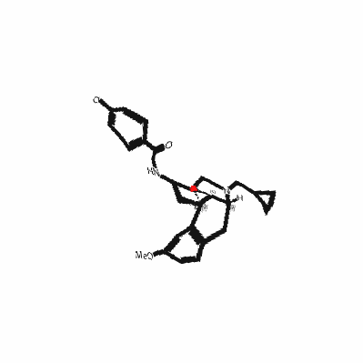 COc1ccc2c(c1)[C@]13CCN(CC4CC4)[C@H](C2)[C@]12CCC(NC(=O)c1ccc(Cl)cc1)(CO2)C3